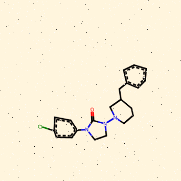 O=C1N(c2ccc(Cl)cc2)CCN1N1CCCC(Cc2ccccc2)C1